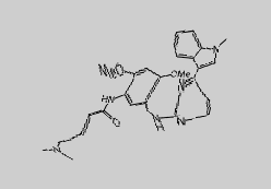 COc1cc(OC)c(Nc2nccc(-c3cn(C)c4ccccc34)n2)cc1NC(=O)C=CCN(C)C